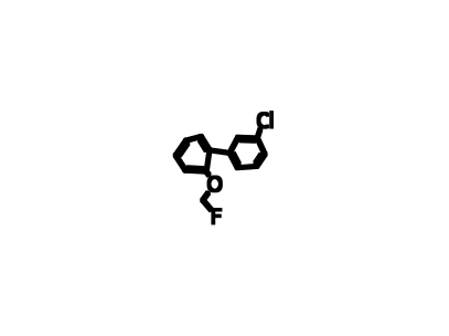 FCOc1ccccc1-c1cccc(Cl)c1